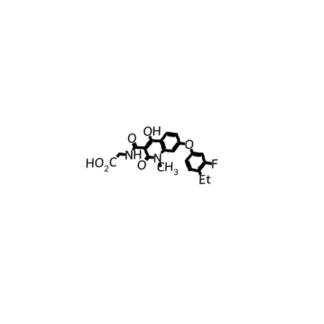 CCc1ccc(Oc2ccc3c(O)c(C(=O)NCC(=O)O)c(=O)n(C)c3c2)cc1F